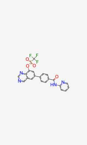 O=C(Nc1ccccn1)c1ccc(-c2cc(OS(=O)(=O)C(F)(F)F)c3ncncc3c2)cc1